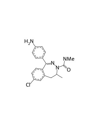 CNC(=O)N1N=C(c2ccc(N)cc2)c2ccc(Cl)cc2CC1C